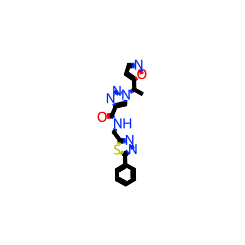 CC(c1ccno1)n1cc(C(=O)NCc2nnc(-c3ccccc3)s2)nn1